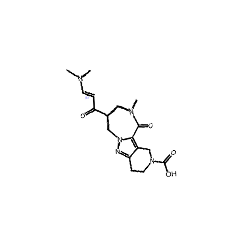 CN(C)/C=C/C(=O)C1CN(C)C(=O)c2c3c(nn2C1)CCN(C(=O)O)C3